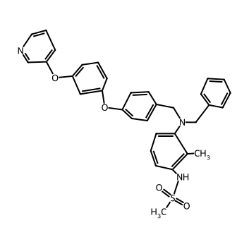 Cc1c(NS(C)(=O)=O)cccc1N(Cc1ccccc1)Cc1ccc(Oc2cccc(Oc3cccnc3)c2)cc1